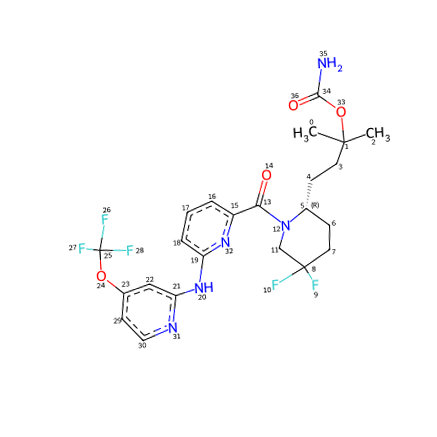 CC(C)(CC[C@@H]1CCC(F)(F)CN1C(=O)c1cccc(Nc2cc(OC(F)(F)F)ccn2)n1)OC(N)=O